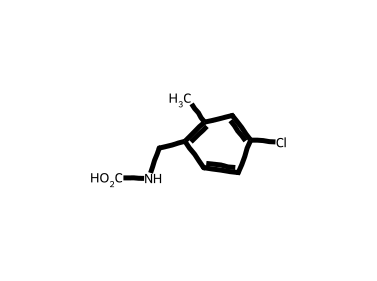 Cc1cc(Cl)ccc1CNC(=O)O